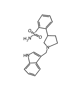 NS(=O)(=O)c1ccccc1C1CCN(Cc2c[nH]c3ccccc23)C1